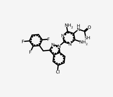 Nc1nc(-n2nc(Cc3c(F)ccc(F)c3F)c3cc(Cl)ccc32)nc(N)c1NC(=O)S